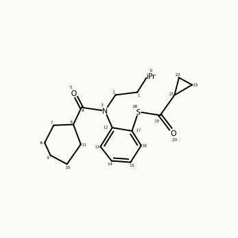 CC(C)CCN(C(=O)C1CCCCC1)c1ccccc1SC(=O)C1CC1